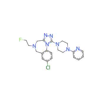 FCCN1Cc2cc(Cl)ccc2-n2c(nnc2N2CCN(c3ccccn3)CC2)C1